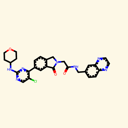 O=C(CN1Cc2ccc(-c3nc(NC4CCOCC4)ncc3Cl)cc2C1=O)NCc1ccc2nccnc2c1